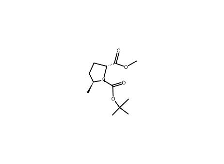 COC(=O)[C@H]1CC[C@H](C)N1C(=O)OC(C)(C)C